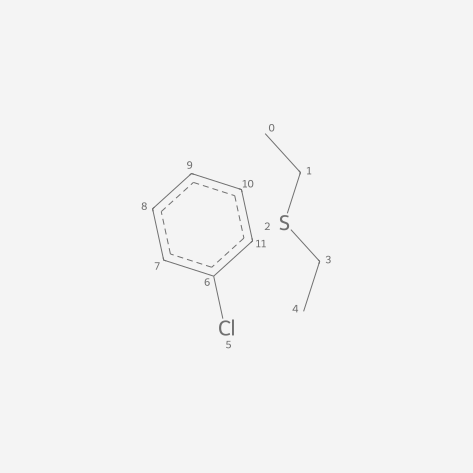 CCSCC.Clc1ccccc1